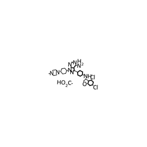 CC(=O)O.CN1CCN([C@H]2CC[C@H](n3nc(-c4ccc(NC5COc6cc(Cl)cc(Cl)c65)cc4)c4c(N)ncnc43)CC2)CC1